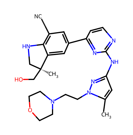 Cc1cc(Nc2nccc(-c3cc(C#N)c4c(c3)[C@@](C)(CO)CN4)n2)nn1CCN1CCOCC1